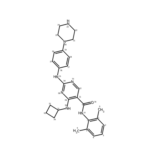 Cc1cccc(C)c1NC(=O)c1cnc(Nc2ccc(N3CCNCC3)cc2)nc1NC1CCC1